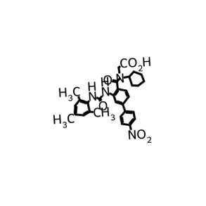 Cc1cc(C)c(NC(=O)Nc2cc(-c3ccc([N+](=O)[O-])cc3)ccc2C(=O)N(CC(=O)O)C2CCCCC2)c(C)c1